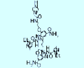 CCn1nc(C)cc1C(=O)Nc1nc2c(OCCCNC(=O)CN3CCNCC3)cc(C(N)=O)cc2n1CCC[C@H]1COc2cc(C(N)=O)cc3nc(NC(=O)c4cc(C)nn4CC)n1c23